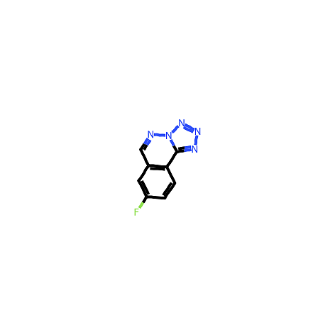 Fc1ccc2c(cnn3nnnc23)c1